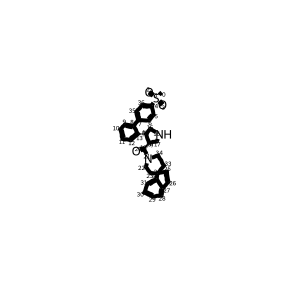 CS(=O)(=O)c1ccc(-c2ccccc2[C@@H]2CNC[C@H]2C(=O)N2CCC3(C=Cc4ccccc43)CC2)cc1